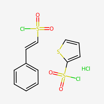 Cl.O=S(=O)(Cl)C=Cc1ccccc1.O=S(=O)(Cl)c1cccs1